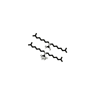 CC(C)CCCCCCN(CCCCCCC(C)C)C(=S)[S-].CC(C)CCCCCCN(CCCCCCC(C)C)C(=S)[S-].[Pb+2]